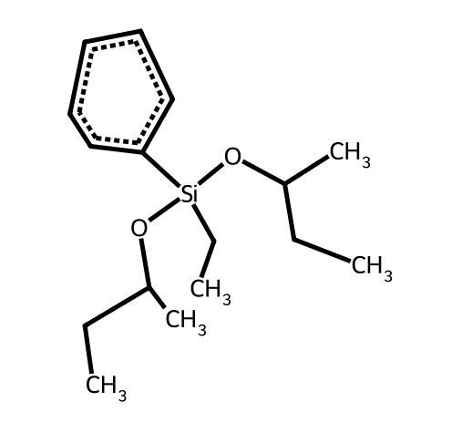 CCC(C)O[Si](CC)(OC(C)CC)c1ccccc1